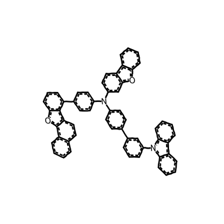 c1cc(-c2ccc(N(c3ccc(-c4cccc5oc6c7ccccc7ccc6c45)cc3)c3ccc4c(c3)oc3ccccc34)cc2)cc(-n2c3ccccc3c3ccccc32)c1